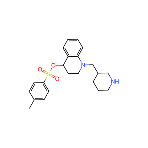 Cc1ccc(S(=O)(=O)OC2CCN(CC3CCCNC3)c3ccccc32)cc1